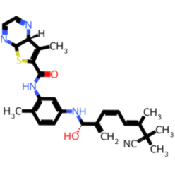 C=C(/C=C\C=C(/C)C(C)(C)C#N)[C@H](O)Nc1ccc(C)c(NC(=O)C2=C(C)[C@H]3N=CC=NC3S2)c1